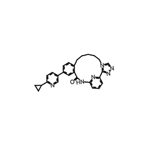 O=C1Nc2cccc(n2)-c2nncn2CCCCCc2ccc(-c3ccc(C4CC4)nc3)cc21